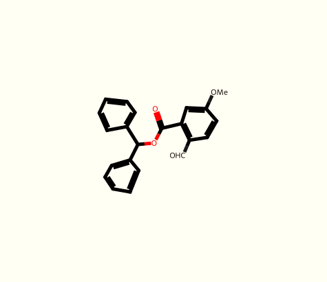 COc1ccc(C=O)c(C(=O)OC(c2ccccc2)c2ccccc2)c1